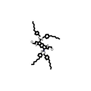 CCCCCCc1ccc(CS/C(Sc2ccc(CCCCCC)cc2)=C2/c3cc4c(cc3-c3sc(C=O)cc32)C(C(SCc2ccc(CCCCCC)cc2)SCc2ccc(CCCCCC)cc2)c2cc(C=O)sc2-4)cc1